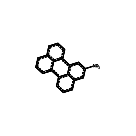 O=[N+]([O-])c1[c]c2c3cccc4cccc(c5cccc(c1)c25)c43